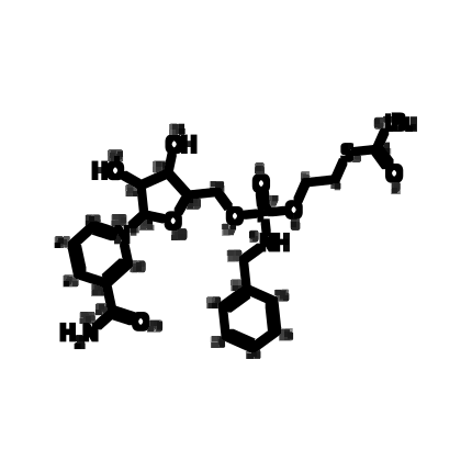 CC(C)(C)C(=O)SCCOP(=O)(NCc1ccccc1)OCC1OC([n+]2cccc(C(N)=O)c2)C(O)C1O